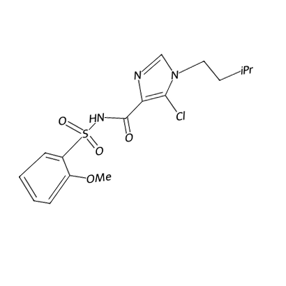 COc1ccccc1S(=O)(=O)NC(=O)c1ncn(CCC(C)C)c1Cl